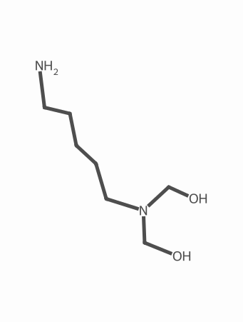 NCCCCCN(CO)CO